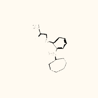 CC(C)(C)C(=O)CNc1ccccc1NC1CCCCCC1